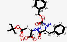 CC(C)(C)OC(=O)C[C@H](NC(=O)[C@H](Cc1ccccc1)NC(=O)OCc1ccccc1)C(=O)O